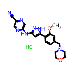 COc1cc(CN2CCOCC2)ccc1-c1cc(Nc2cnc(C#N)cn2)n[nH]1.Cl